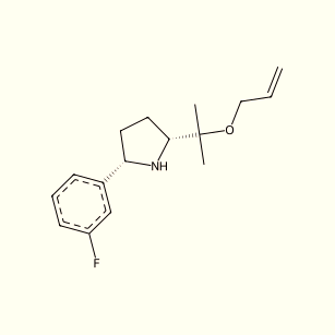 C=CCOC(C)(C)[C@H]1CC[C@@H](c2cccc(F)c2)N1